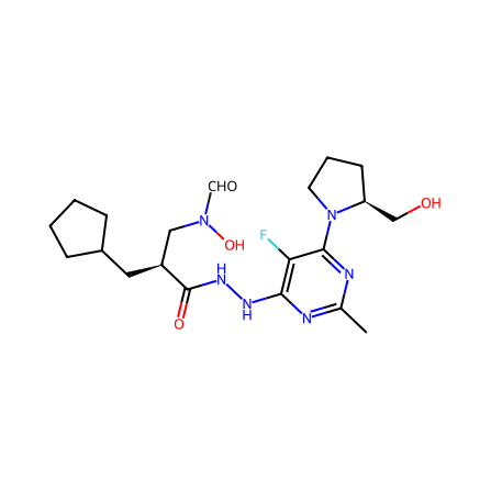 Cc1nc(NNC(=O)[C@@H](CC2CCCC2)CN(O)C=O)c(F)c(N2CCC[C@H]2CO)n1